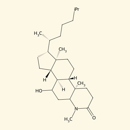 CC(C)CCC[C@@H](C)[C@H]1CC[C@H]2[C@@H]3C(O)CC4N(C)C(=O)CC[C@]4(C)[C@H]3CC[C@]12C